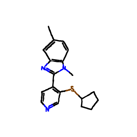 Cc1ccc2c(c1)nc(-c1ccncc1SC1CCCC1)n2C